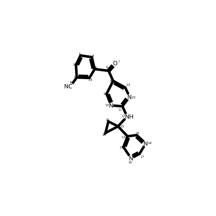 N#Cc1cccc(C(=O)c2cnc(NC3(c4cncnc4)CC3)nc2)c1